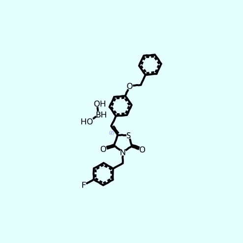 O=C1S/C(=C\c2ccc(OCc3ccccc3)cc2)C(=O)N1Cc1ccc(F)cc1.OBO